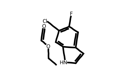 CCOC=O.Fc1cc2cc[nH]c2cc1Cl